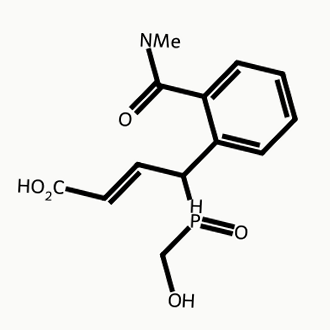 CNC(=O)c1ccccc1C(C=CC(=O)O)[PH](=O)CO